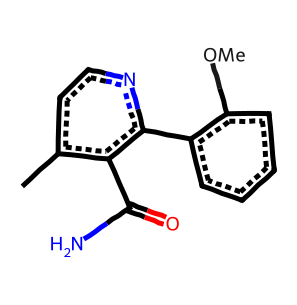 COc1ccccc1-c1nccc(C)c1C(N)=O